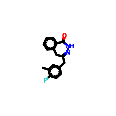 Cc1cc(CC2=NNC(=O)c3ccccc3C2)ccc1F